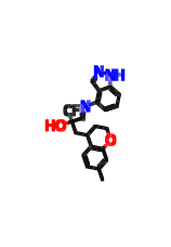 Cc1ccc2c(c1)OCCC2CC(O)(C=Nc1cccc2[nH]ncc12)C(F)(F)F